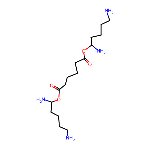 NCCCCC(N)OC(=O)CCCCC(=O)OC(N)CCCCN